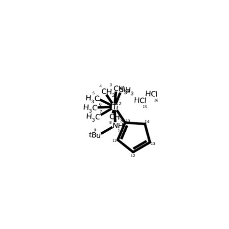 CC(C)(C)[NH][Ti]([CH3])([CH3])([CH3])([CH3])([CH3])([CH3])([SiH3])[C]1=CC=CC1.Cl.Cl